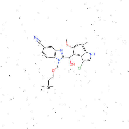 COc1cc(C)c2[nH]cc(Cl)c2c1C(O)c1nc2cc(C#N)ccc2n1COCC[Si](C)(C)C